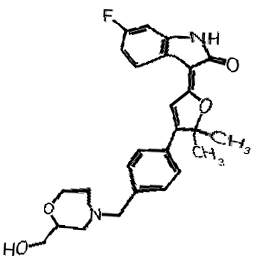 CC1(C)OC(=C2C(=O)Nc3cc(F)ccc32)C=C1c1ccc(CN2CCOC(CO)C2)cc1